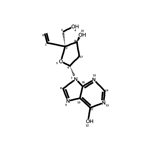 C=C[C@]1(CO)O[C@@H](n2cnc3c(O)ncnc32)C[C@@H]1O